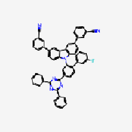 N#Cc1cccc(-c2ccc3c(c2)c2cc(-c4cccc(C#N)c4)ccc2n3-c2cc(-c3nc(-c4ccccc4)nc(-c4ccccc4)n3)ccc2-c2cccc(F)c2)c1